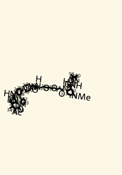 CNc1ccc(NC(=O)CCOCCOCCNC(=O)CN2CCN(c3ccc(Nc4ncc5c(C)c(C(C)=O)c(=O)n(C6CCCC6)c5n4)nc3)CC2)c(C(=O)Nc2nc(C)c(C)s2)c1